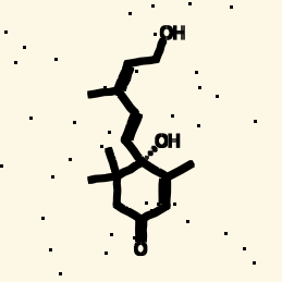 CC1=CC(=O)CC(C)(C)[C@@]1(O)/C=C/C(C)=C\CO